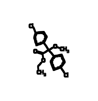 CCOC(=O)C(OC)(c1ccc(Cl)cc1)c1ccc(Cl)cc1